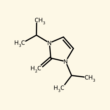 C=C1N(C(C)C)C=CN1C(C)C